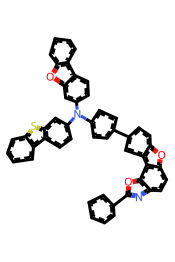 c1ccc(-c2nc3ccc4oc5ccc(-c6ccc(N(c7ccc8c(c7)oc7ccccc78)c7ccc8c(c7)sc7ccccc78)cc6)cc5c4c3o2)cc1